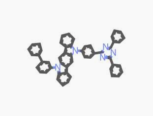 c1ccc(-c2cccc(-n3c4ccccc4c4cc5c(cc43)c3ccccc3n5-c3ccc(-c4nc(-c5ccccc5)nc(-c5ccccc5)n4)cc3)c2)cc1